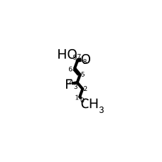 CCCC(F)C=CC(=O)O